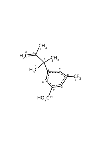 C=C(C)C(C)(C)c1cc(C(F)(F)F)cc(C(=O)O)n1